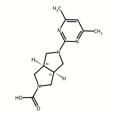 Cc1cc(C)nc(N2C[C@H]3CN(C(=O)O)C[C@H]3C2)n1